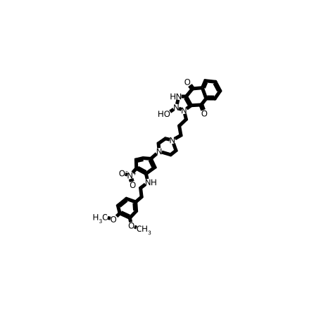 COc1ccc(CCNc2cc(N3CCN(CCCn4c5c(=O)c6ccccc6c(=O)c=5[nH]n4O)CC3)ccc2[N+](=O)[O-])cc1OC